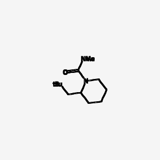 CNC(=O)N1CCCCC1CC(C)(C)C